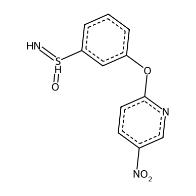 N=[SH](=O)c1cccc(Oc2ccc([N+](=O)[O-])cn2)c1